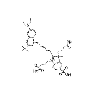 CCN(CC)c1ccc2c(c1)OC(C(C)(C)C)=C\C2=C/C=C/C=C/C1=[N+](CCCS(=O)(=O)O)c2ccc(S(=O)(=O)O)cc2C1(C)CCCC(=O)O